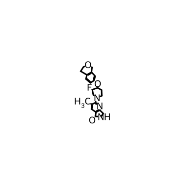 Cc1cc2c(nc1N1CC[C@@H](Oc3ccc4c(c3)COCC4)[C@@H](F)C1)CNC2=O